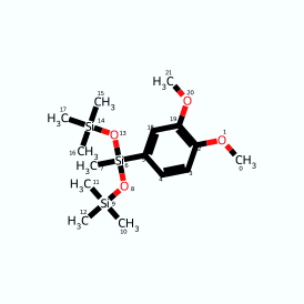 COc1ccc([Si](C)(O[Si](C)(C)C)O[Si](C)(C)C)cc1OC